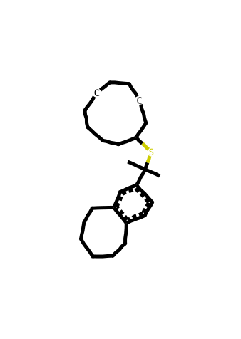 CC(C)(SC1CCCCCCCCC1)c1ccc2c(c1)CCCCCC2